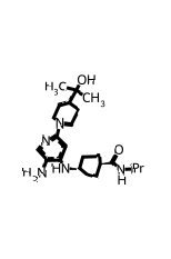 CC(C)NC(=O)[C@H]1CC[C@@H](Nc2cc(N3CCC(C(C)(C)O)CC3)ncc2N)CC1